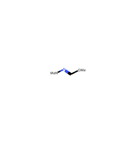 CN/N=C/OC